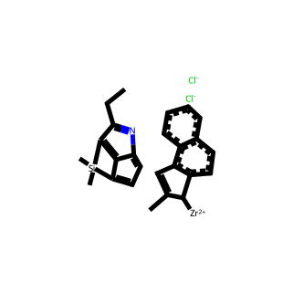 CC1=Cc2c(ccc3ccccc23)[CH]1[Zr+2].CCC1=NC2=CC=C3C2=C1[Si]3(C)C.[Cl-].[Cl-]